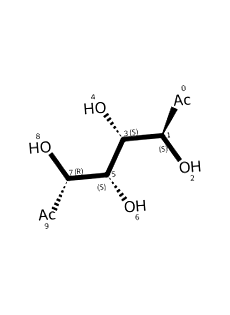 CC(=O)[C@@H](O)[C@@H](O)[C@H](O)[C@@H](O)C(C)=O